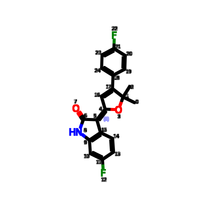 CC1(C)O/C(=C2/C(=O)Nc3cc(F)ccc32)C=C1c1ccc(F)cc1